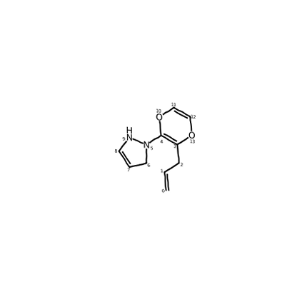 C=CCC1=C(N2CC=CN2)OC=CO1